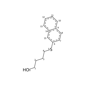 OCCCCSc1ccc2ccccc2c1